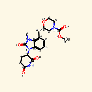 Cn1c(=O)n(C2CCC(=O)NC2=O)c2cccc(C[C@H]3CN(C(=O)OC(C)(C)C)CCO3)c21